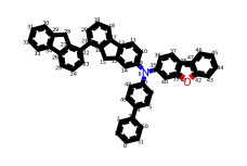 c1ccc(-c2ccc(N(c3ccc4c(c3)Cc3c-4cccc3-c3cccc4c3Cc3ccccc3-4)c3ccc4c(c3)oc3ccccc34)cc2)cc1